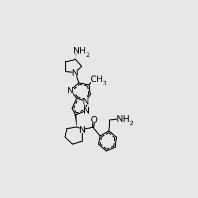 Cc1cn2nc([C@@H]3CCCCN3C(=O)c3ccccc3CN)cc2nc1N1CC[C@H](N)C1